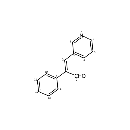 O=C/C(=C\c1cccnc1)c1ccccc1